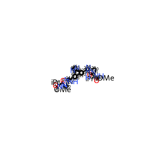 COC(=O)NC(C(=O)N1CCC[C@H]1c1ncc(-c2ccc3c4ccc(-c5cnc([C@@H]6CCCN6C(=O)[C@@H](NC(=O)OC)C(C)C)[nH]5)cc4c4nccnc4c3c2)[nH]1)C(C)C